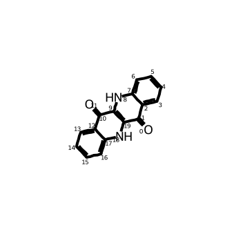 O=c1c2ccccc2[nH]c2c(=O)c3ccccc3[nH]c12